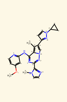 COc1ccnc(Nc2nc(-c3nccn3C)nn3cc(-c4ccn(C5CC5)n4)c(C)c23)c1